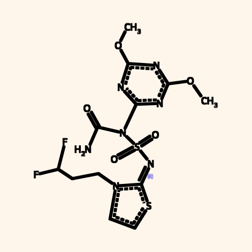 COc1nc(OC)nc(N(C(N)=O)S(=O)(=O)/N=c2/sccn2CCC(F)F)n1